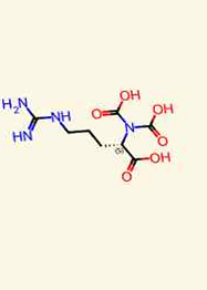 N=C(N)NCCC[C@@H](C(=O)O)N(C(=O)O)C(=O)O